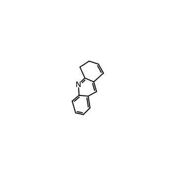 C1=Cc2cc3ccccc3nc2CC1